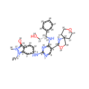 CC(C)n1c2cc(Nc3ncc(C4=NC5(CCOCC5)CO4)c(N[C@H](CO)c4ccccc4)n3)ccc2c(=O)n1C